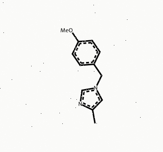 [CH2]c1cn(Cc2ccc(OC)cc2)cn1